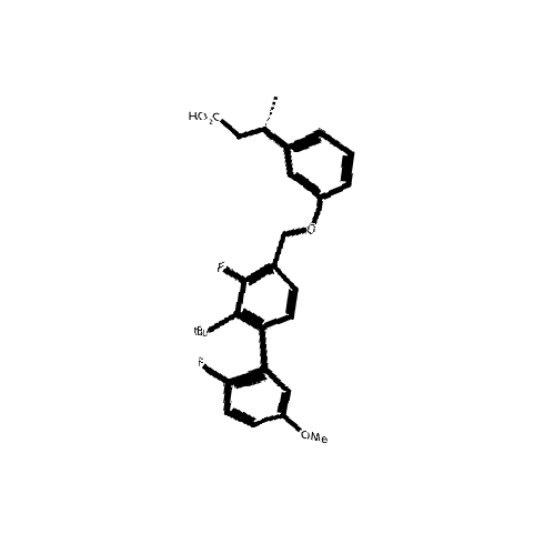 COc1ccc(F)c(-c2ccc(COc3cccc([C@@H](C)CC(=O)O)c3)c(F)c2C(C)(C)C)c1